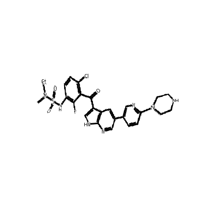 CCN(C)S(=O)(=O)Nc1ccc(Cl)c(C(=O)c2c[nH]c3ncc(-c4ccc(N5CCNCC5)nc4)cc23)c1F